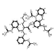 CC(=O)Oc1ccccc1CN(Cc1ccccc1OC(C)=O)C(CCCN)C(=O)O.CC(=O)Oc1ccccc1Cc1ccccc1NCC(=O)O